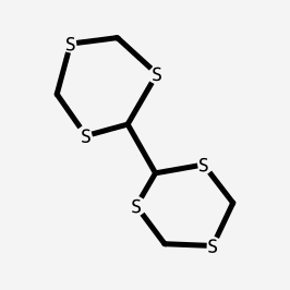 C1SCSC(C2SCSCS2)S1